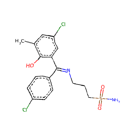 Cc1cc(Cl)cc(/C(=N/CCCS(N)(=O)=O)c2ccc(Cl)cc2)c1O